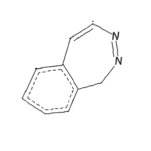 [C]1=Cc2ccccc2CN=N1